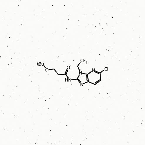 CC(C)(C)OCCC(=O)Nc1nc2ccc(Cl)nc2n1CC(F)(F)F